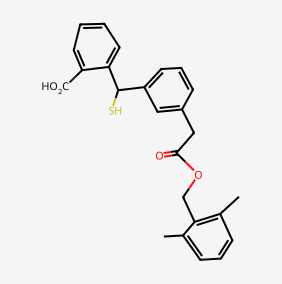 Cc1cccc(C)c1COC(=O)Cc1cccc(C(S)c2ccccc2C(=O)O)c1